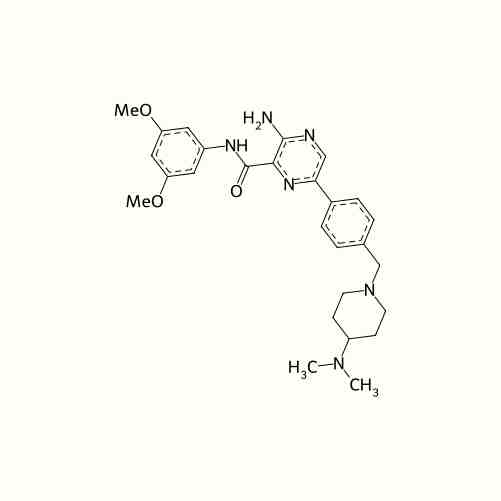 COc1cc(NC(=O)c2nc(-c3ccc(CN4CCC(N(C)C)CC4)cc3)cnc2N)cc(OC)c1